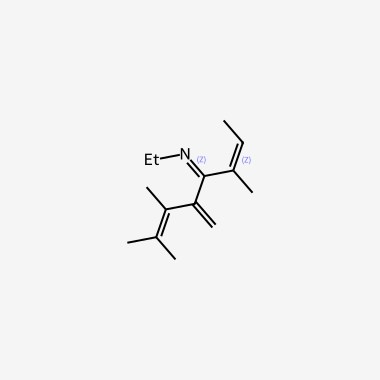 C=C(C(C)=C(C)C)C(=N\CC)/C(C)=C\C